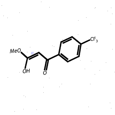 CO/C(O)=C/C(=O)c1ccc(C(F)(F)F)cc1